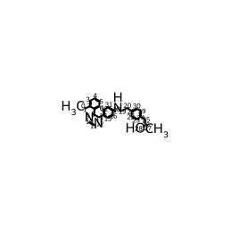 CCc1ccccc1-c1nccnc1-c1ccc(NCCc2ccc(CC(C)O)cc2)cc1